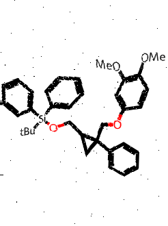 COc1ccc(OCC2(c3ccccc3)CC2CO[Si](c2ccccc2)(c2ccccc2)C(C)(C)C)cc1OC